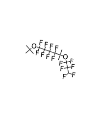 CC(C)(C)OC(F)(F)C(F)(F)C(F)(F)C(F)(F)C(C)(C)OC(F)(F)C(F)(F)C(F)F